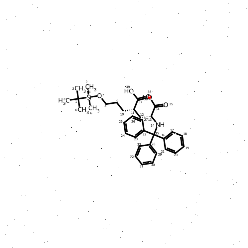 CC(C)(C)[Si](C)(C)OCCC[C@@H](C[C@@H](NC(c1ccccc1)(c1ccccc1)c1ccccc1)C(=O)O)C(=O)O